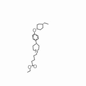 CCOC(=O)CCCCN1CCC(c2ccc(O[C@H]3CC[C@H](CC)CC3)cc2)CC1